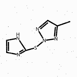 Cc1cnn(Sc2ncc[nH]2)n1